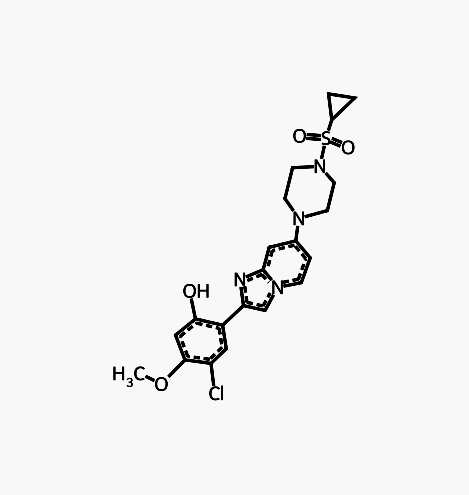 COc1cc(O)c(-c2cn3ccc(N4CCN(S(=O)(=O)C5CC5)CC4)cc3n2)cc1Cl